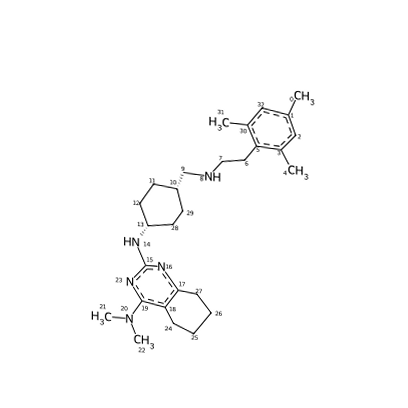 Cc1cc(C)c(CCNC[C@H]2CC[C@@H](Nc3nc4c(c(N(C)C)n3)CCCC4)CC2)c(C)c1